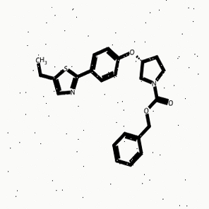 CCc1cnc(-c2ccc(O[C@@H]3CCN(C(=O)OCc4ccccc4)C3)cc2)s1